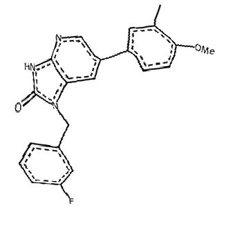 COc1ccc(-c2cnc3[nH]c(=O)n(Cc4cccc(F)c4)c3c2)cc1C